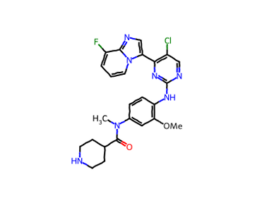 COc1cc(N(C)C(=O)C2CCNCC2)ccc1Nc1ncc(Cl)c(-c2cnc3c(F)cccn23)n1